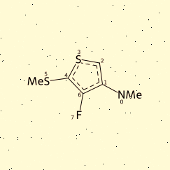 CNc1csc(SC)c1F